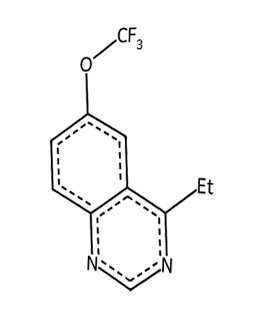 CCc1ncnc2ccc(OC(F)(F)F)cc12